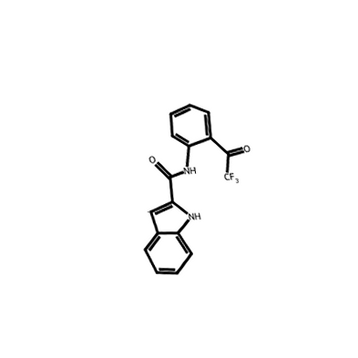 O=C(Nc1ccccc1C(=O)C(F)(F)F)c1[c]c2ccccc2[nH]1